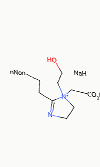 CCCCCCCCCCCC1=NCC[N+]1(CCO)CC(=O)O.[NaH]